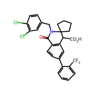 O=C(O)C1c2cc(-c3ccccc3C(F)(F)F)ccc2C(=O)N(Cc2ccc(Cl)c(Cl)c2)C12CCCC2